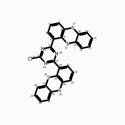 Clc1nc(-c2cccc3c2Sc2ccccc2S3)nc(-c2cccc3c2Sc2ccccc2S3)n1